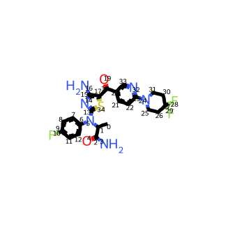 CC(C(N)=O)N(c1ccc(F)cc1)c1nc(N)c(C(=O)c2ccc(N3CCC(F)(F)CC3)nc2)s1